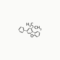 CC(C)c1cc(-c2ccccc2)cc2oc3ccccc3c12